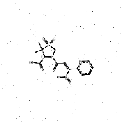 CC1(C)[C@H](C(=O)O)N(C(=O)/C=C(/c2ccccn2)[SH](=O)=O)CS1(=O)=O